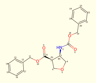 O=C(N[C@H]1COC[C@H]1C(=O)OCc1ccccc1)OCc1ccccc1